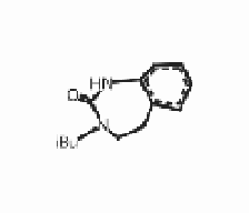 CCC(C)N1CCc2ccccc2NC1=O